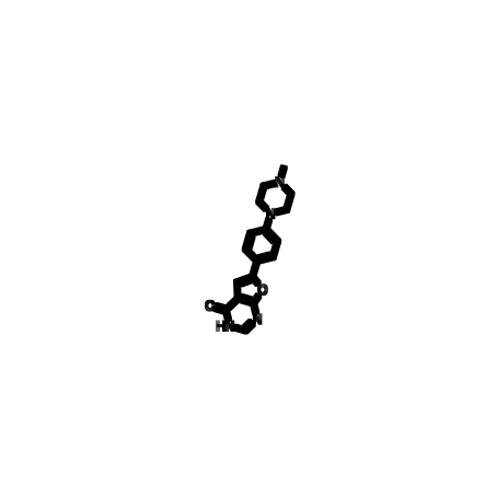 CN1CCN(c2ccc(-c3cc4c(=O)[nH]cnc4o3)cc2)CC1